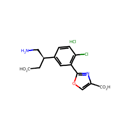 Cl.NC[C@H](CC(=O)O)c1ccc(Cl)c(-c2nc(C(=O)O)co2)c1